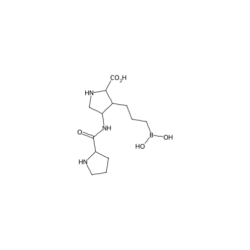 O=C(NC1CNC(C(=O)O)C1CCCB(O)O)C1CCCN1